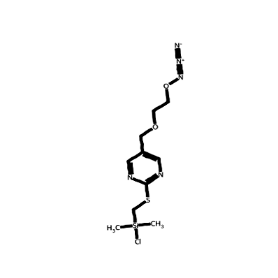 C[Si](C)(Cl)CSc1ncc(COCCON=[N+]=[N-])cn1